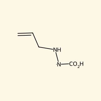 C=CCN[N]C(=O)O